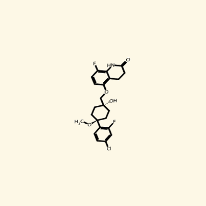 CO[C@]1(c2ccc(Cl)cc2F)CC[C@](O)(COc2ccc(F)c3c2CCC(=O)N3)CC1